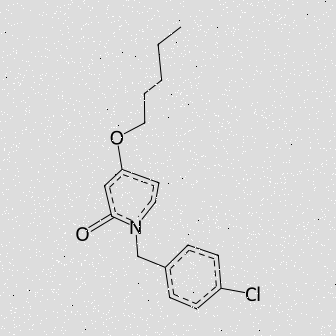 CCCCCOc1ccn(Cc2ccc(Cl)cc2)c(=O)c1